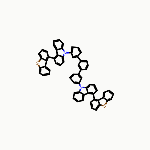 c1cc(-c2cccc(-n3c4ccccc4c4c(-c5cccc6sc7ccccc7c56)cccc43)c2)cc(-c2cccc(-n3c4ccccc4c4c(-c5cccc6sc7ccccc7c56)cccc43)c2)c1